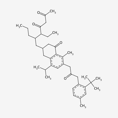 CCCC(CC1CC(=O)c2c(C)c(CC(=O)Cc3ccc(C)cc3C(C)(C)C)cc(C(C)C)c2C1)C(CC)C(=O)CC(C)=O